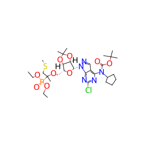 CCOP(=O)(OCC)C(C)(CSC)OC[C@H]1O[C@@H](n2ncc3c(N(C(=O)OC(C)(C)C)C4CCCC4)nc(Cl)nc32)[C@@H]2OC(C)(C)O[C@@H]21